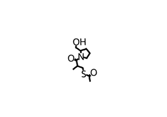 CC(=O)SCC(C)C(=O)N1CCCC1CO